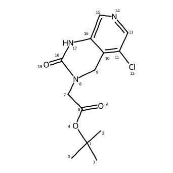 CC(C)(C)OC(=O)CN1Cc2c(Cl)cncc2NC1=O